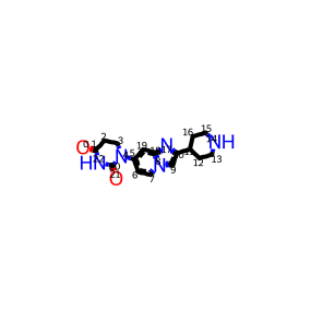 O=C1CCN(c2ccn3cc(C4CCNCC4)nc3c2)C(=O)N1